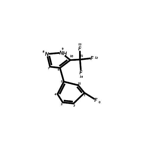 Fc1cccc(-c2cn[nH]c2C(F)(F)F)c1